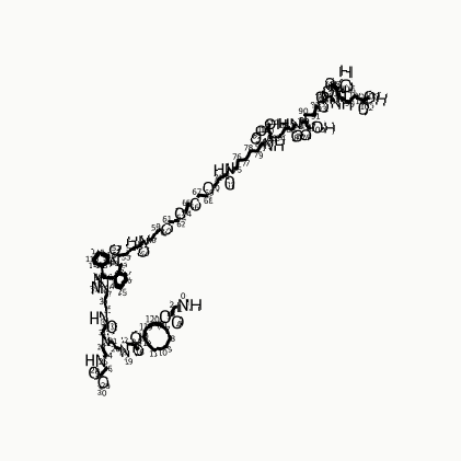 CNCC(=O)O[C@@H]1CCCCCC[C@H](OC(=O)CN(C)CCN(CCNCC(=O)OC)CC(=O)NCCCn2nnc3c2-c2ccccc2CN(C(=O)CCC(=O)NCCOCCOCCOCCOCCC(=O)NCCCCCC(=O)N[C@H](CCC(=O)N[C@@H](CCCOP(=O)(O)NC(CCC(=O)O)C(=O)O)C(=O)O)C(=O)O)c2ccccc2-3)CC1